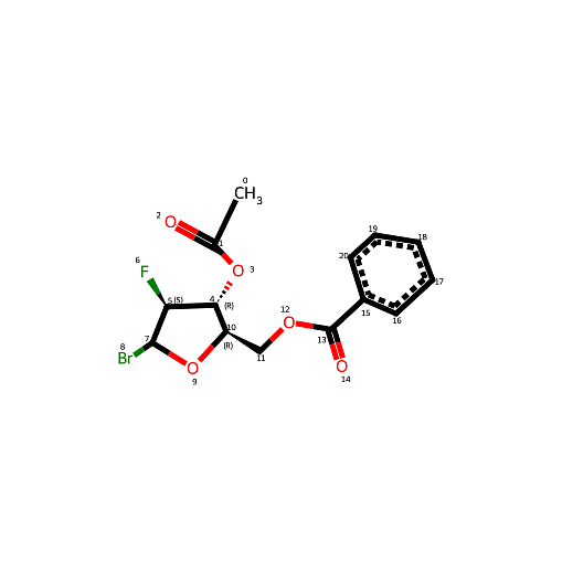 CC(=O)O[C@H]1[C@H](F)C(Br)O[C@@H]1COC(=O)c1ccccc1